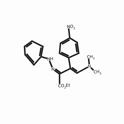 CCOC(=O)C(=NNc1ccccc1)C(=CN(C)C)c1ccc([N+](=O)[O-])cc1